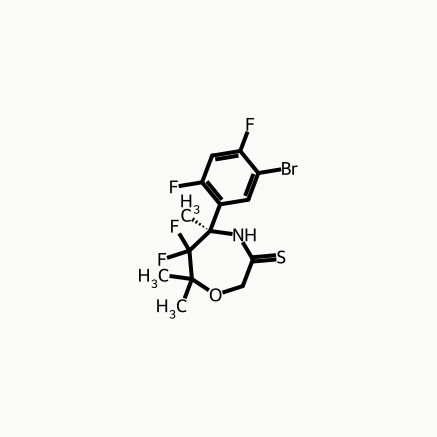 CC1(C)OCC(=S)N[C@](C)(c2cc(Br)c(F)cc2F)C1(F)F